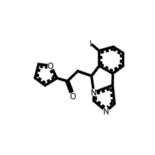 O=C(CC1c2c(I)cccc2-c2cncn21)c1ccco1